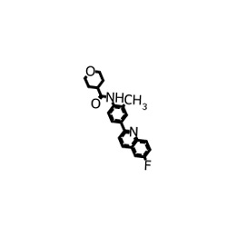 Cc1cc(-c2ccc3cc(F)ccc3n2)ccc1NC(=O)C1CCOCC1